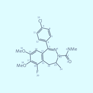 CNC(=O)N1N=C(c2ccc(Cl)cc2)c2cc(OC)c(OC)c(F)c2CC1C